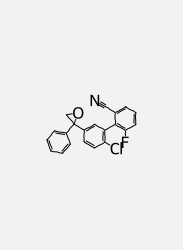 N#Cc1cccc(F)c1-c1cc(C2(c3ccccc3)CO2)ccc1Cl